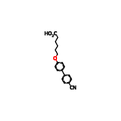 N#Cc1ccc(-c2ccc(OCCCCCC(=O)O)cc2)cc1